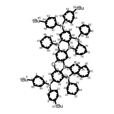 CC(C)(C)c1ccc(N(c2ccc(C(C)(C)C)cc2)c2cc3c4c(c2)N(c2ccccc2)c2c(sc5ccccc25)B4c2cc4c(cc2O3)N(c2ccccc2)c2cc(N(c3ccc(C(C)(C)C)cc3)c3ccc(C(C)(C)C)cc3)cc3c2B4c2ccccc2N3c2ccccc2)cc1